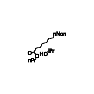 CC(C)O.CCCCCCCCCCCCCCCC(=O)OCCC